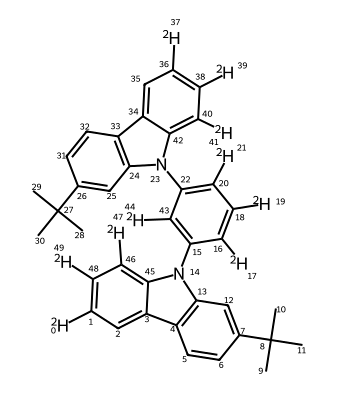 [2H]c1cc2c3ccc(C(C)(C)C)cc3n(-c3c([2H])c([2H])c([2H])c(-n4c5cc(C(C)(C)C)ccc5c5cc([2H])c([2H])c([2H])c54)c3[2H])c2c([2H])c1[2H]